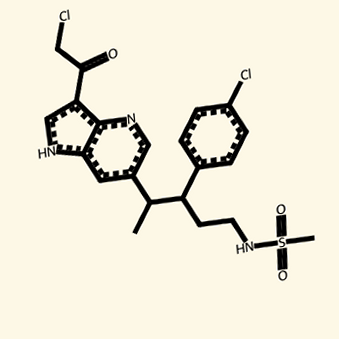 CC(c1cnc2c(C(=O)CCl)c[nH]c2c1)C(CCNS(C)(=O)=O)c1ccc(Cl)cc1